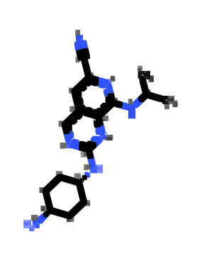 CC(C)Nc1nc(C#N)cc2cnc(N[C@H]3CC[C@H](N)CC3)nc12